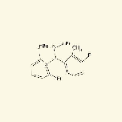 CCCC[C@H](CCC)C(c1cccc(F)c1C)c1c(F)cccc1CC